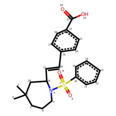 CC1(C)CCCN(S(=O)(=O)c2ccccc2)C(C=Cc2ccc(C(=O)O)cc2)C1